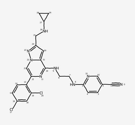 N#Cc1ccc(NCCNc2nc(-c3ccc(Cl)cc3Cl)cn3nc(CNC4CC4)cc23)nc1